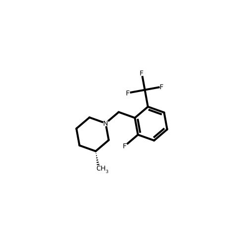 C[C@@H]1CCCN(Cc2c(F)cccc2C(F)(F)F)C1